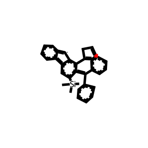 C[Si](C)(C)c1cc2c(c(C3=CC=CC3)c1=C(c1ccccc1)c1ccccc1)[C]=c1ccccc1=2